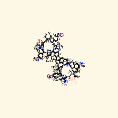 Bc1c2nc(c(-c3ccc(N=O)cc3)c3[nH]c(c(CC)c3CC)c(-c3ccc4c(c3)C(C)(C)c3cc(-c5c6nc(c(-c7ccc(N=O)cc7)c7[nH]c(c(Br)c8nc(c(-c9ccc(N=O)cc9)c9[nH]c5c(CC)c9CC)C(CC)=C8CC)c(CC)c7CC)C(CC)=C6CC)ccc3-4)c3nc(c(-c4ccc(N=O)cc4)c4[nH]c1c(CC)c4CC)C(CC)=C3CC)C(CC)=C2CC